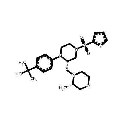 C[C@H]1COCCN1C[C@H]1CN(S(=O)(=O)c2cccs2)CCN1c1ccc(C(C)(O)C(F)(F)F)cc1